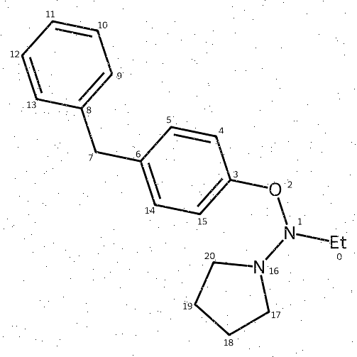 CCN(Oc1ccc(Cc2ccccc2)cc1)N1CCCC1